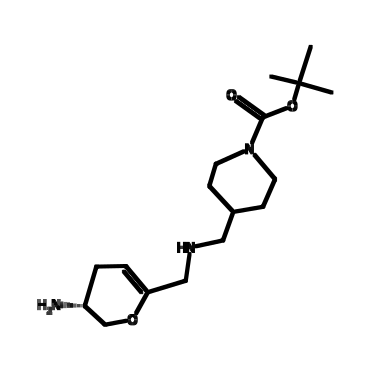 CC(C)(C)OC(=O)N1CCC(CNCC2=CC[C@@H](N)CO2)CC1